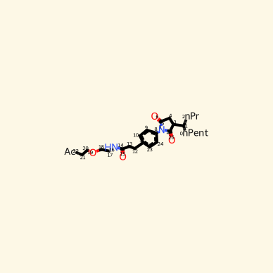 CCCCCC(CCC)C1CC(=O)N(c2ccc(CCC(=O)NCCOCCC(C)=O)cc2)C1=O